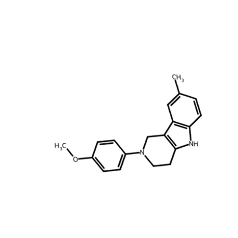 COc1ccc(N2CCc3[nH]c4ccc(C)cc4c3C2)cc1